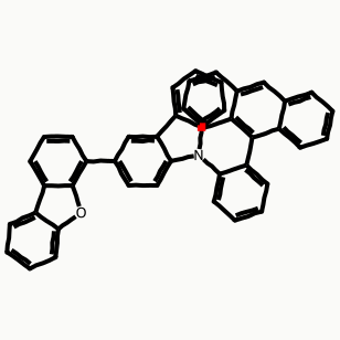 c1ccc(-n2c3ccccc3c3cc(-c4cccc5c4oc4ccccc45)ccc32)c(-c2c3ccccc3cc3ccccc23)c1